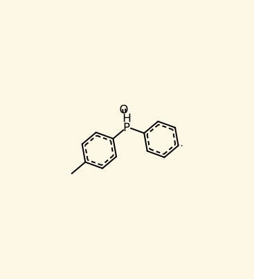 Cc1ccc([PH](=O)c2cc[c]cc2)cc1